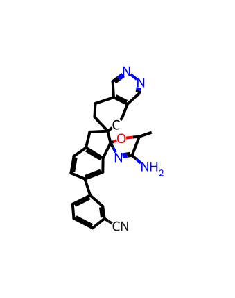 CC1OC2(N=C1N)c1cc(-c3cccc(C#N)c3)ccc1CC21CCc2cnncc2CC1